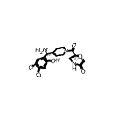 N[C@@H](c1cc(Cl)c(Cl)cc1O)C1CCN(C(=O)[C@@H]2CNC(=O)CO2)CC1